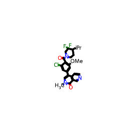 COc1cc(-c2cn(C)c(=O)c3cnccc23)cc(Cl)c1C(=O)N1CCC(C(C)C)C(F)(F)C1